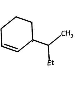 CCC(C)[C]1C=CCCC1